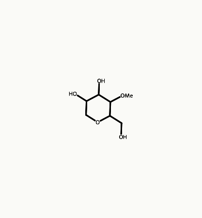 COC1C(CO)OCC(O)C1O